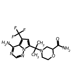 CC(C)(c1cc(C(F)(F)F)c2c(N)ncnn12)N1CCOC(C(N)=O)C1